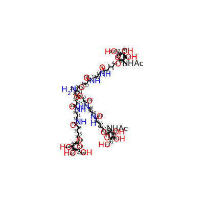 CC(=O)N[C@H]1[C@H](OCCCCC(=O)NCCCNC(=O)CCOCC(N)(COCCC(=O)NCCCNC(=O)CCCCO[C@H]2C[C@@H](O)[C@@H](O)[C@@H](CO)O2)COCCC(=O)NCCCNC(=O)CCCCO[C@@H]2O[C@H](CO)[C@H](O)[C@H](O)[C@H]2NC(C)=O)O[C@H](CO)[C@H](O)[C@@H]1O